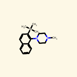 CN1CCN(c2[c]([Sn]([CH3])([CH3])[CH3])ccc3ccccc23)CC1